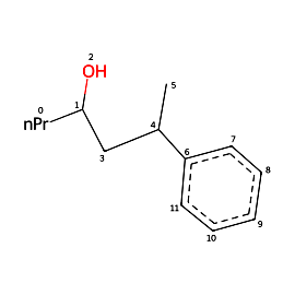 CCCC(O)CC(C)c1ccccc1